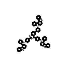 c1cc(-c2ccc3nc(-c4ccc(-n5c6ccccc6c6c7c(ccc65)sc5ccccc57)cc4)nc(-c4ccc(-n5c6ccccc6c6c7c(ccc65)sc5ccccc57)cc4)c3c2)cc(-n2c3ccccc3c3c4c(ccc32)sc2ccccc24)c1